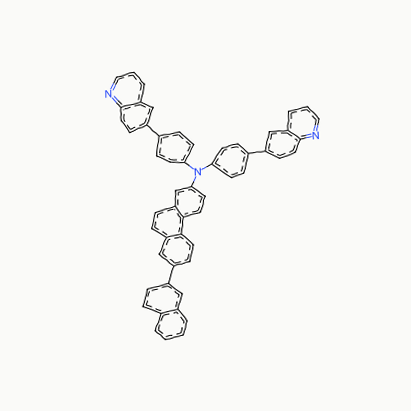 c1ccc2cc(-c3ccc4c(ccc5cc(N(c6ccc(-c7ccc8ncccc8c7)cc6)c6ccc(-c7ccc8ncccc8c7)cc6)ccc54)c3)ccc2c1